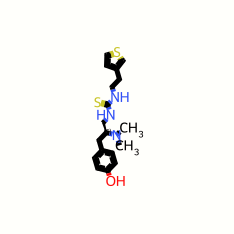 CN(C)[C@H](CNC(=S)NCCc1ccsc1)Cc1ccc(O)cc1